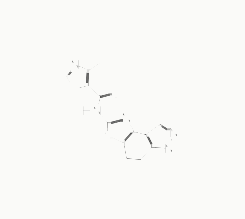 Cc1ncsc1C(=O)Nc1nc2c(s1)CCc1c-2cnn1C